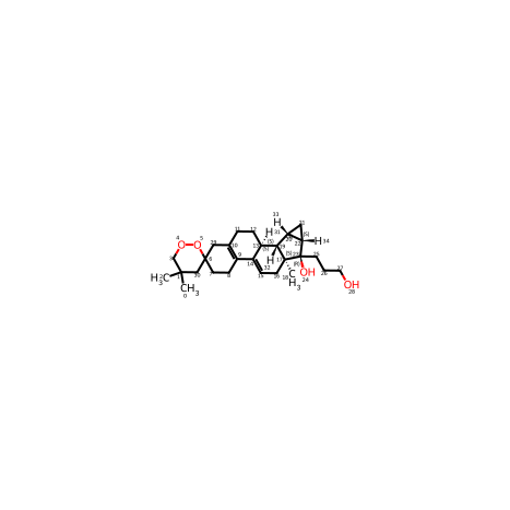 CC1(C)COOC2(CCC3=C(CC[C@@H]4C3=CC[C@@]3(C)[C@H]4[C@@H]4C[C@@H]4[C@]3(O)CCCO)C2)C1